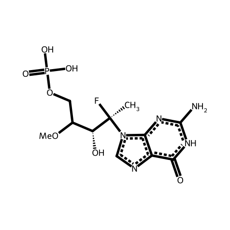 COC(COP(=O)(O)O)[C@@H](O)[C@@](C)(F)n1cnc2c(=O)[nH]c(N)nc21